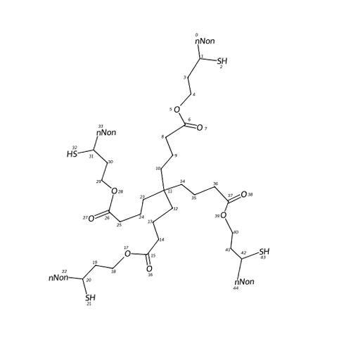 CCCCCCCCCC(S)CCOC(=O)CCCC(CCCC(=O)OCCC(S)CCCCCCCCC)(CCCC(=O)OCCC(S)CCCCCCCCC)CCCC(=O)OCCC(S)CCCCCCCCC